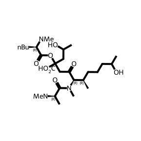 CCCC[C@@H](NC)C(=O)OC(CC(=O)[C@@H]([C@H](C)CCCC(C)O)N(C)C(=O)[C@@H](C)NC)(CC(C)O)C(=O)O